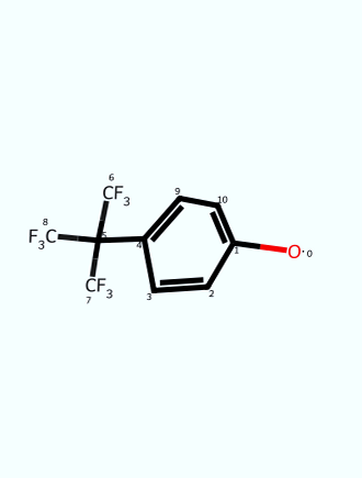 [O]c1ccc(C(C(F)(F)F)(C(F)(F)F)C(F)(F)F)cc1